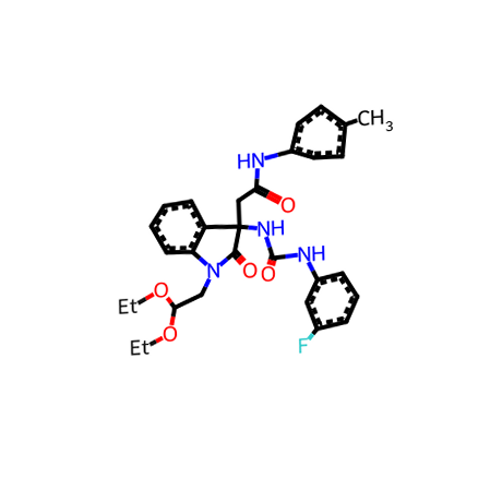 CCOC(CN1C(=O)C(CC(=O)Nc2ccc(C)cc2)(NC(=O)Nc2cccc(F)c2)c2ccccc21)OCC